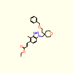 CCOC(=O)/C=C/c1ccc2c(nnn2CC2(CCOCc3ccccc3)CCOCC2)c1C